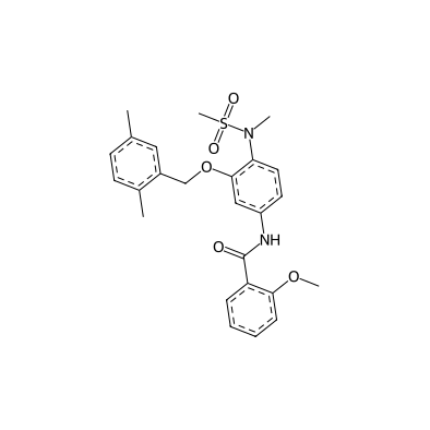 COc1ccccc1C(=O)Nc1ccc(N(C)S(C)(=O)=O)c(OCc2cc(C)ccc2C)c1